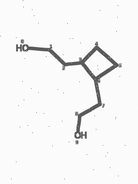 OCCC1CCC1CCO